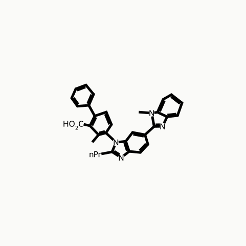 CCCc1nc2ccc(-c3nc4ccccc4n3C)cc2n1-c1ccc(-c2ccccc2)c(C(=O)O)c1C